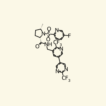 C[C@H]1CC[C@@H](C(=O)NCc2cc(-c3cnc(C(F)(F)F)nc3)cnc2C(F)(F)F)N1S(=O)(=O)c1ccc(F)cn1